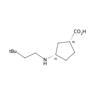 CC(C)(C)CCN[C@H]1CC[C@@H](C(=O)O)C1